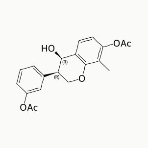 CC(=O)Oc1cccc([C@@H]2COc3c(ccc(OC(C)=O)c3C)[C@@H]2O)c1